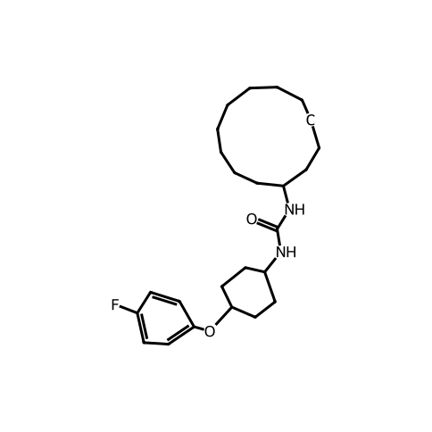 O=C(NC1CCCCCCCCCCC1)NC1CCC(Oc2ccc(F)cc2)CC1